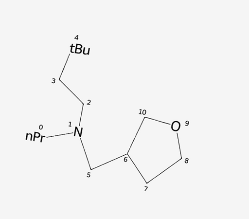 CCCN(CCC(C)(C)C)CC1CCOC1